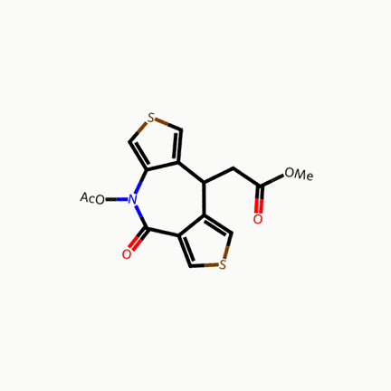 COC(=O)CC1c2cscc2C(=O)N(OC(C)=O)c2cscc21